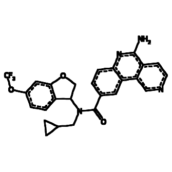 Nc1nc2ccc(C(=O)N(CC3CC3)C3COc4cc(OC(F)(F)F)ccc43)cc2c2cnccc12